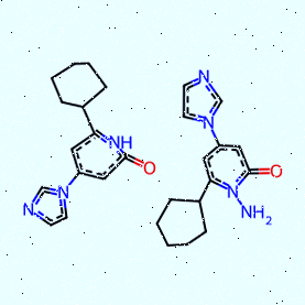 Nn1c(C2CCCCC2)cc(-n2ccnc2)cc1=O.O=c1cc(-n2ccnc2)cc(C2CCCCC2)[nH]1